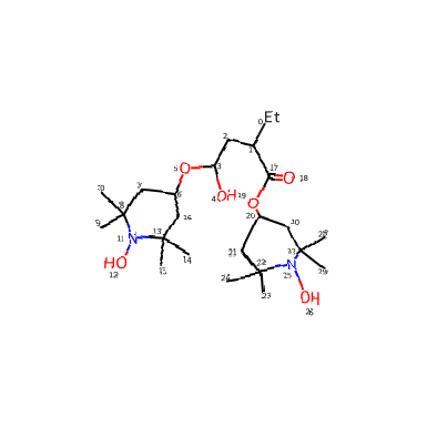 CCC(CC(O)OC1CC(C)(C)N(O)C(C)(C)C1)C(=O)OC1CC(C)(C)N(O)C(C)(C)C1